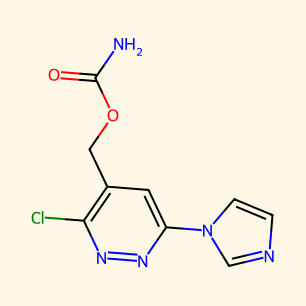 NC(=O)OCc1cc(-n2ccnc2)nnc1Cl